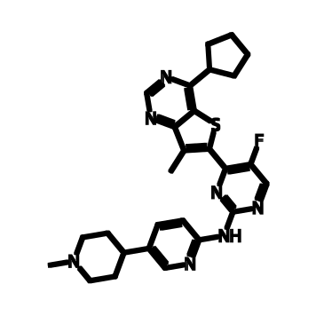 Cc1c(-c2nc(Nc3ccc(C4CCN(C)CC4)cn3)ncc2F)sc2c(C3CCCC3)ncnc12